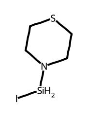 I[SiH2]N1CCSCC1